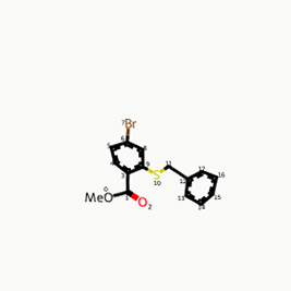 COC(=O)c1ccc(Br)cc1SCc1ccccc1